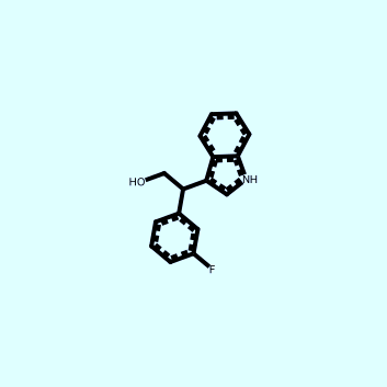 OCC(c1cccc(F)c1)c1c[nH]c2ccccc12